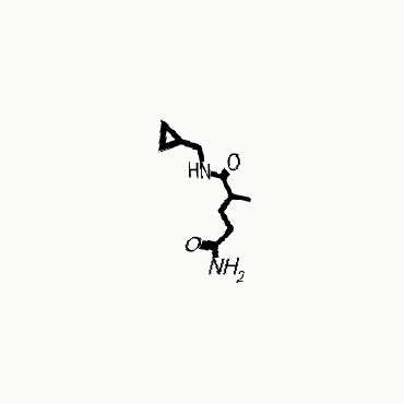 CC(CCC(N)=O)C(=O)NCC1CC1